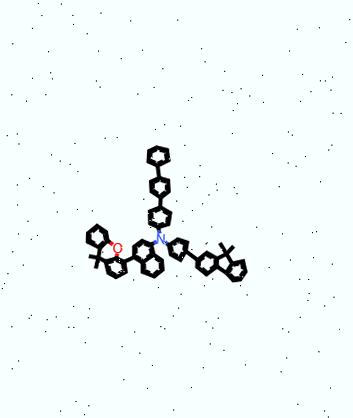 CC1(C)c2ccccc2-c2ccc(-c3ccc(N(c4ccc(-c5ccc(-c6ccccc6)cc5)cc4)c4ccc(-c5cccc6c5Oc5ccccc5C6(C)C)c5ccccc45)cc3)cc21